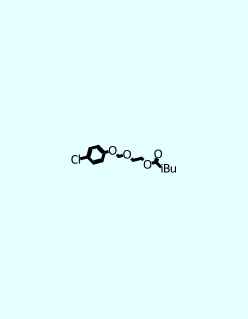 CCC(C)C(=O)OCCOCOc1ccc(Cl)cc1